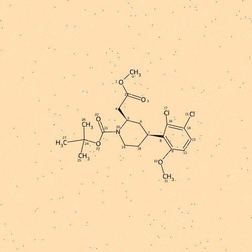 COC(=O)C[C@H]1C[C@@H](c2c(OC)ccc(Cl)c2Cl)CCN1C(=O)OC(C)(C)C